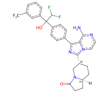 Nc1nccn2c([C@@H]3CC[C@H]4CCC(=O)N4C3)nc(-c3ccc(C(O)(c4cccc(C(F)(F)F)c4)C(F)F)cc3)c12